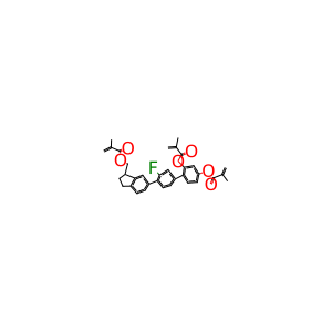 C=C(C)C(=O)OCC1CCc2ccc(-c3ccc(-c4ccc(OC(=O)C(=C)C)cc4OC(=O)C(=C)C)cc3F)cc21